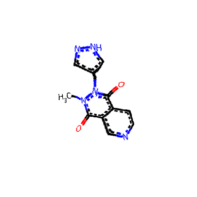 Cn1c(=O)c2cnccc2c(=O)n1-c1cn[nH]c1